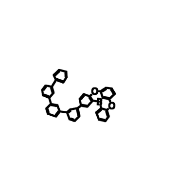 c1ccc(-c2cccc(-c3cccc(-c4cccc(-c5ccc6c(c5)B5c7ccccc7Oc7cccc(c75)O6)c4)c3)c2)cc1